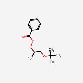 C[C](COC(C)(C)C)OOC(=O)c1ccccc1